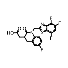 O=C(O)CC1Cc2cc(F)ccc2N(Cc2nc3c(F)c(F)cc(F)c3s2)C1=O